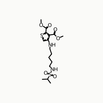 COC(=O)c1scc(NCCCCCNS(=O)(=O)C(C)C)c1C(=O)OC